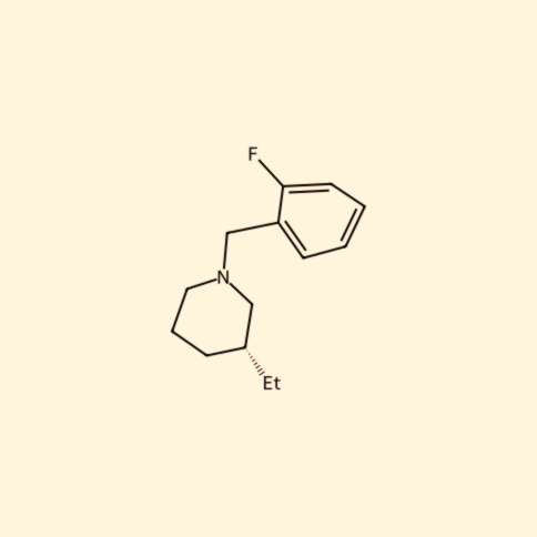 CC[C@@H]1CCCN(Cc2ccccc2F)C1